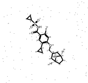 O=C(NS(=O)(=O)C1CC1)c1cc(C2CC2)c(OC[C@H]2C[C@H]3CC[C@@H](C2)N3)cc1F